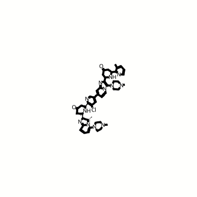 Cc1cccnc1C1CC(=O)CC(c2nc3cc(-c4cnc([C@@H]5CC(=O)C[C@H](C6N=C7C=CC=C(N8CCN(C)CC8)N7[C@H]6C)N5)c(Cl)c4)ccn3c2N2CCN(C)CC2)N1